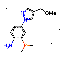 COCc1cnn(-c2ccc(N)c(P(C)C)c2)c1